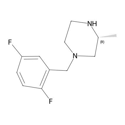 C[C@@H]1CN(Cc2cc(F)ccc2F)CCN1